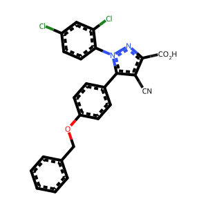 N#Cc1c(C(=O)O)nn(-c2ccc(Cl)cc2Cl)c1-c1ccc(OCc2ccccc2)cc1